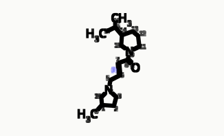 CC1CCN(C/C=C/C(=O)N2CCCC(C(C)C)C2)C1